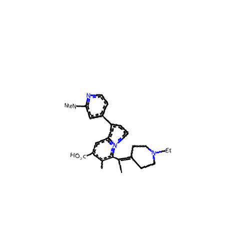 CCN1CCC(=C(C)c2c(C)c(C(=O)O)cc3c(-c4ccnc(NC)c4)ccn23)CC1